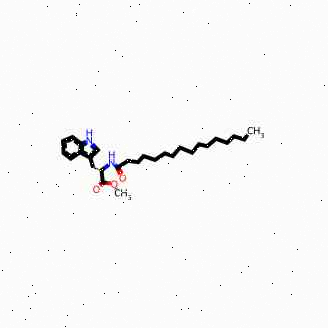 CCCCCCCCCCCCCCCC(=O)N[C@@H](Cc1c[nH]c2ccccc12)C(=O)OC